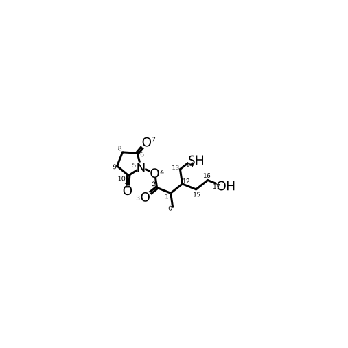 CC(C(=O)ON1C(=O)CCC1=O)C(CS)CCO